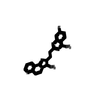 Cc1nc(CCC2N=C3c4cccnc4C=CN3C2C)nc2cc(F)ccc12